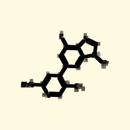 CNc1cc(-c2cc(F)c3ncn(C(C)C)c3c2)c(C)cn1